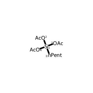 CCCCC[Si](OC(C)=O)(OC(C)=O)OC(C)=O